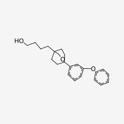 OCCCCC12CCC(c3cccc(Oc4ccccc4)c3)(CC1)OC2